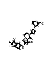 COc1cc(-n2ccc(N3CCOC(C(C)(O)C(=O)Nc4ccc5[nH]c(C)c(Cl)c5c4)C3=O)n2)ccn1